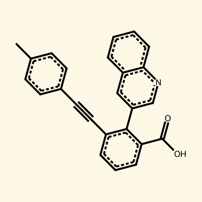 Cc1ccc(C#Cc2cccc(C(=O)O)c2-c2cnc3ccccc3c2)cc1